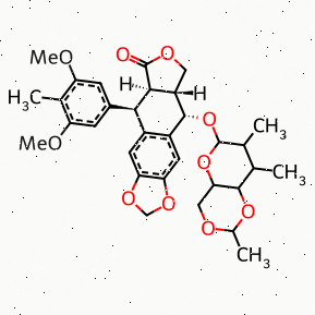 COc1cc([C@@H]2c3cc4c(cc3[C@@H](OC3OC5COC(C)OC5C(C)C3C)[C@H]3COC(=O)[C@H]23)OCO4)cc(OC)c1C